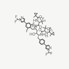 CC1(C(=O)NC(C(=O)N[C@@H](Cc2ccc(-c3cnn(C(F)F)c3)cc2)[C@@H](O)CN(Cc2c(F)cc(-c3cnn(C(F)F)c3)cc2F)NC(=O)[C@@H](NC(=O)C2(C)CC2)C(C)(C)C(F)(F)F)C(C)(C)C(F)(F)F)CC1